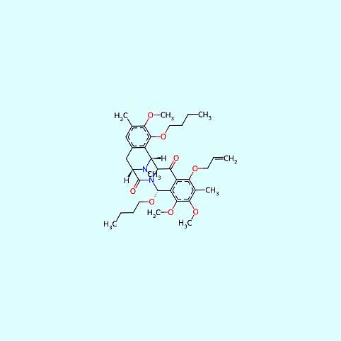 C=CCOc1c(C)c(OC)c(OC)c2c1C(=O)C1[C@H]3c4c(cc(C)c(OC)c4OCCCC)C[C@@H](C(=O)N1[C@H]2OCCCC)N3C